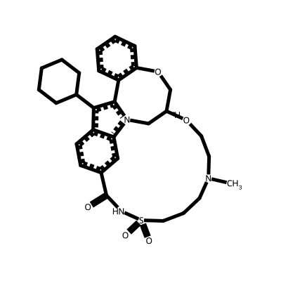 CN1CCCS(=O)(=O)NC(=O)c2ccc3c(C4CCCCC4)c4n(c3c2)C[C@@H](COc2ccccc2-4)OCC1